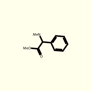 CN[C](C(=O)OC)c1ccccc1